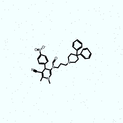 CC1=C(C#N)C(c2ccc([N+](=O)[O-])cc2)C(N(C=O)CCCN2CCC(c3ccccc3)(c3ccccc3)CC2)=CN1C